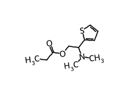 CCC(=O)OCC(c1cccs1)N(C)C